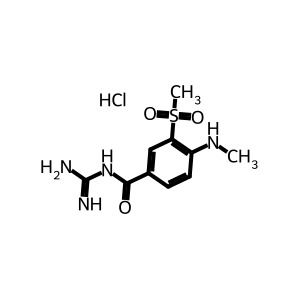 CNc1ccc(C(=O)NC(=N)N)cc1S(C)(=O)=O.Cl